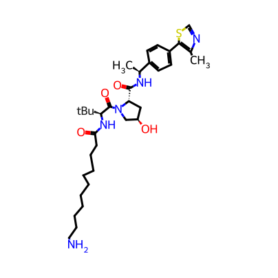 Cc1ncsc1-c1ccc([C@H](C)NC(=O)[C@@H]2C[C@@H](O)CN2C(=O)[C@@H](NC(=O)CCCCCCCCCCN)C(C)(C)C)cc1